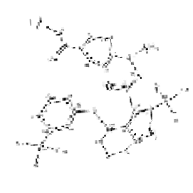 COC(=O)c1ccc([C@H](C)NC(=O)c2c(C(F)(F)F)nn3c2N(Cc2cccc(C(F)(F)F)c2)CCC3)cc1